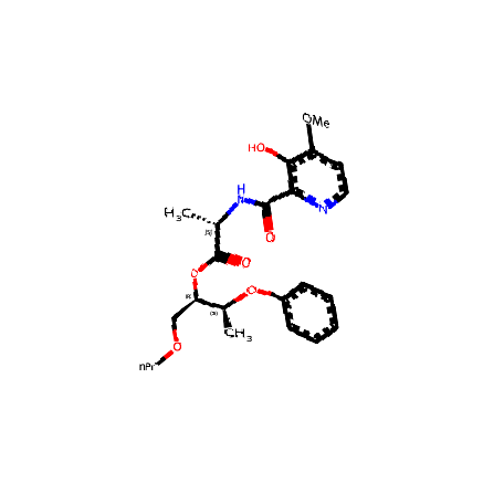 CCCOC[C@@H](OC(=O)[C@H](C)NC(=O)c1nccc(OC)c1O)[C@H](C)Oc1ccccc1